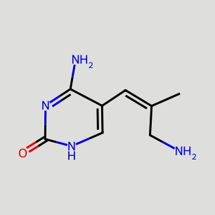 CC(=Cc1c[nH]c(=O)nc1N)CN